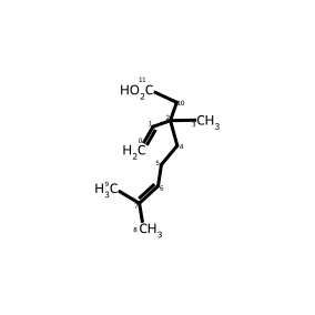 C=CC(C)(CCC=C(C)C)CC(=O)O